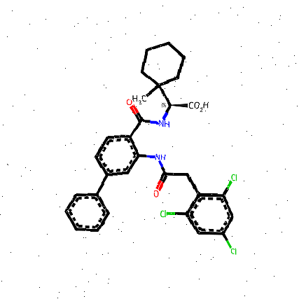 CC1([C@H](NC(=O)c2ccc(-c3ccccc3)cc2NC(=O)Cc2c(Cl)cc(Cl)cc2Cl)C(=O)O)CCCCC1